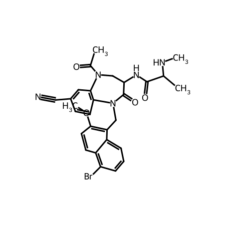 CNC(C)C(=O)NC1CN(C(C)=O)c2cc(C#N)ccc2N(Cc2c(OC)ccc3c(Br)cccc23)C1=O